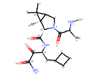 CC(C)(C)C(NCl)C(=O)N1CC2[C@@H]([C@H]1C(=O)NC(CC1CCC1)C(=O)C(N)=O)C2(C)C